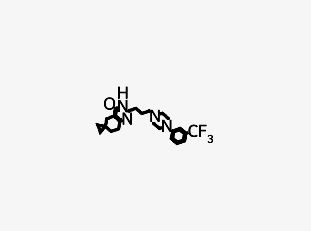 O=c1[nH]c(CCCN2CCN(c3cccc(C(F)(F)F)c3)CC2)nc2c1CC1(CC2)CC1